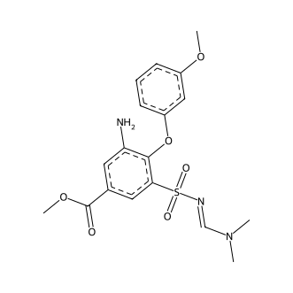 COC(=O)c1cc(N)c(Oc2cccc(OC)c2)c(S(=O)(=O)N=CN(C)C)c1